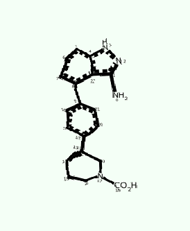 Nc1n[nH]c2cccc(-c3ccc(C4=CCCN(C(=O)O)C4)cc3)c12